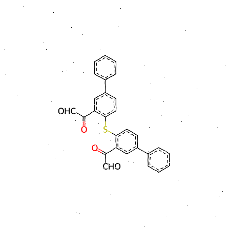 O=CC(=O)c1cc(-c2ccccc2)ccc1Sc1ccc(-c2ccccc2)cc1C(=O)C=O